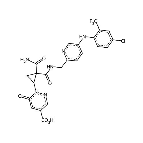 NC(=O)C1(C(=O)NCc2ccc(Nc3ccc(Cl)cc3C(F)(F)F)cn2)CC1n1ncc(C(=O)O)cc1=O